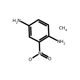 C.Nc1ccc(N)c([N+](=O)[O-])c1